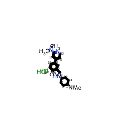 CNC1CCC(NCc2cc(-c3ccnc(N(C)C)c3)ccc2OC)CC1.Cl.Cl